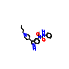 CCCCN1C=CC(c2c[nH]c3ccc(N(OC)C(=O)Nc4ccccc4)cc23)CC1